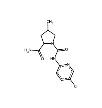 CC1CC(C(N)=O)N(C(=O)Nc2ccc(Cl)cn2)C1